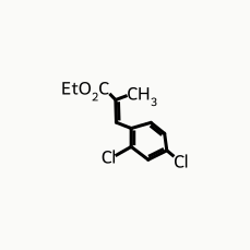 CCOC(=O)/C(C)=C/c1ccc(Cl)cc1Cl